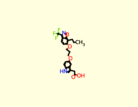 CCCc1c(OCCCOc2ccc3[nH]cc(CC(=O)O)c3c2)ccc2c(C(F)(F)F)noc12